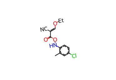 CCOC=C(C#N)C(=O)ONc1ccc(Cl)cc1C